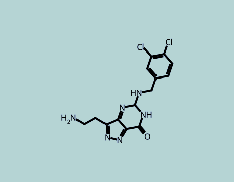 NCCC1=NN=C2C(=O)NC(NCc3ccc(Cl)c(Cl)c3)N=C12